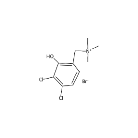 C[N+](C)(C)Cc1ccc(Cl)c(Cl)c1O.[Br-]